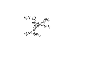 NCc1cccc(CNc2nc(N3C[C@H](N)C[C@H](N)C3)nc(N3C[C@H](N)C[C@H](N)C3)n2)c1